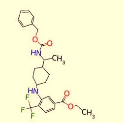 CCOC(=O)c1ccc(C(F)(F)F)c(NC2CCC(C(C)NC(=O)OCc3ccccc3)CC2)c1